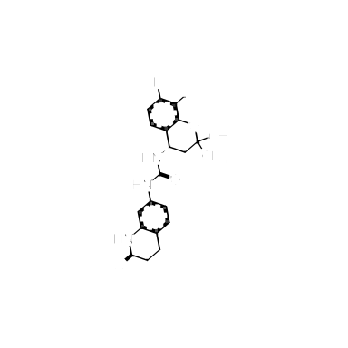 CC1(C)C[C@@H](NC(=O)Nc2ccc3c(c2)NC(=O)CC3)c2ccc(F)c(F)c2O1